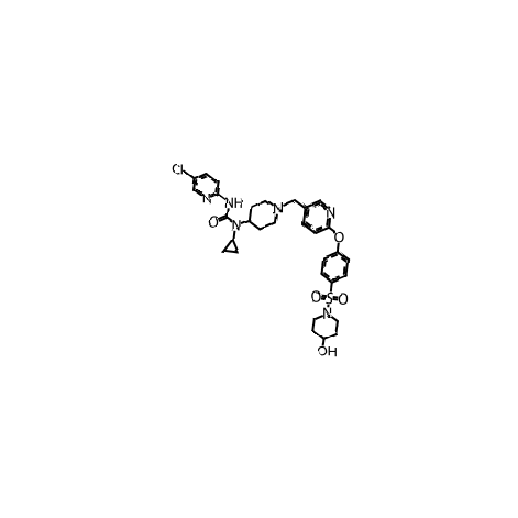 O=C(Nc1ccc(Cl)cn1)N(C1CC1)C1CCN(Cc2ccc(Oc3ccc(S(=O)(=O)N4CCC(O)CC4)cc3)nc2)CC1